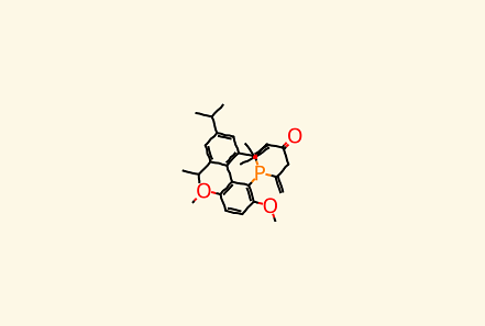 C=Cc1cc(C(C)C)cc(C(C)C)c1-c1c(OC)ccc(OC)c1P1C(=C)CC(=O)CC1(C)C